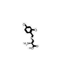 N[C@@H](CSCc1ccc(Cl)cc1Cl)C(=O)O